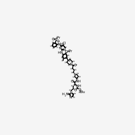 Cc1cc(Nc2ncc(Cl)c(Nc3ccccc3S(=O)(=O)C(C)C)n2)c(OC(C)C)cc1C1CCN(C(=O)CCCN2CC[C@@H](NC(=O)[C@H](CCCn3ccnc3N)NC(=O)OC(C)(C)C)C2)CC1